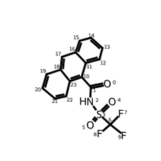 O=C(NS(=O)(=O)C(F)(F)F)c1c2ccccc2cc2ccccc12